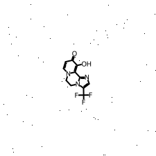 O=c1ccn2c(c1O)-c1ncc(C(F)(F)F)n1CC2